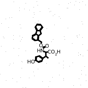 CC(c1ccc(O)cc1)C(NC(=O)OCc1cccc2c1Cc1ccccc1-2)C(=O)O